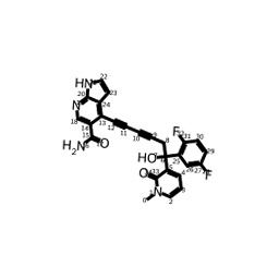 Cn1cccc(C(O)(CC#CC#Cc2c(C(N)=O)cnc3[nH]ccc23)c2cc(F)ccc2F)c1=O